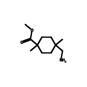 COC(=O)C1(C)CCC(C)(CN)CC1